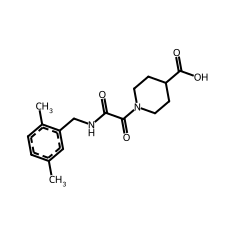 Cc1ccc(C)c(CNC(=O)C(=O)N2CCC(C(=O)O)CC2)c1